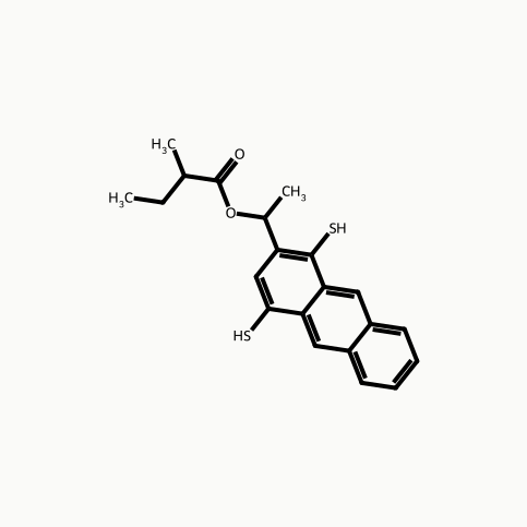 CCC(C)C(=O)OC(C)c1cc(S)c2cc3ccccc3cc2c1S